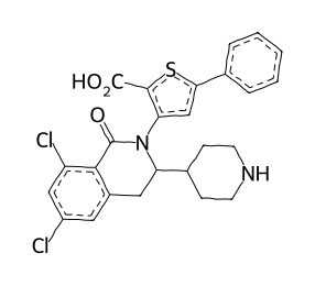 O=C(O)c1sc(-c2ccccc2)cc1N1C(=O)c2c(Cl)cc(Cl)cc2CC1C1CCNCC1